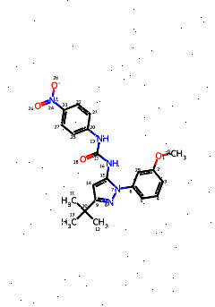 COc1cccc(-n2nc(C(C)(C)C)cc2NC(=O)Nc2ccc([N+](=O)[O-])cc2)c1